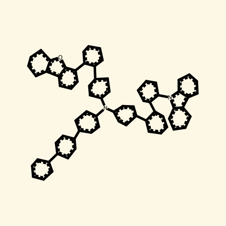 c1ccc(-c2ccc(-c3ccc(N(c4ccc(-c5ccccc5-c5ccccc5-n5c6ccccc6c6ccccc65)cc4)c4ccc(-c5ccccc5-c5cccc6c5oc5ccccc56)cc4)cc3)cc2)cc1